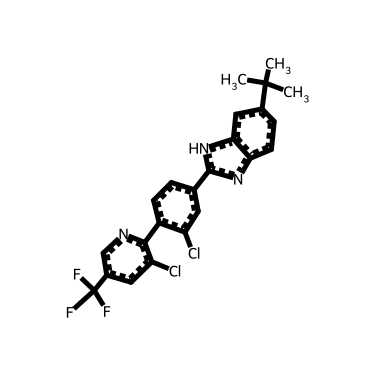 CC(C)(C)c1ccc2nc(-c3ccc(-c4ncc(C(F)(F)F)cc4Cl)c(Cl)c3)[nH]c2c1